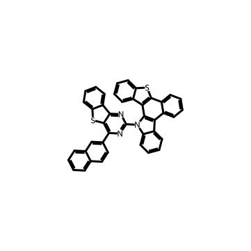 c1ccc2cc(-c3nc(-n4c5ccccc5c5c6ccccc6c6sc7ccccc7c6c54)nc4c3sc3ccccc34)ccc2c1